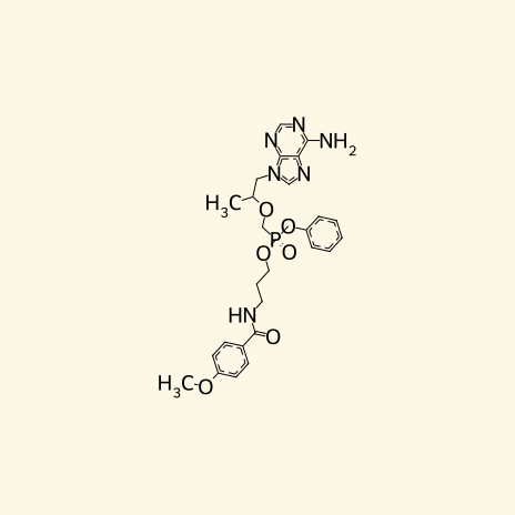 COc1ccc(C(=O)NCCCOP(=O)(COC(C)Cn2cnc3c(N)ncnc32)Oc2ccccc2)cc1